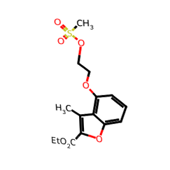 CCOC(=O)c1oc2cccc(OCCOS(C)(=O)=O)c2c1C